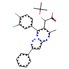 Cc1nc2cc(-c3ccccc3)nn2c(-c2ccc(Cl)c(Cl)c2)c1C(OC(C)(C)C)C(=O)O